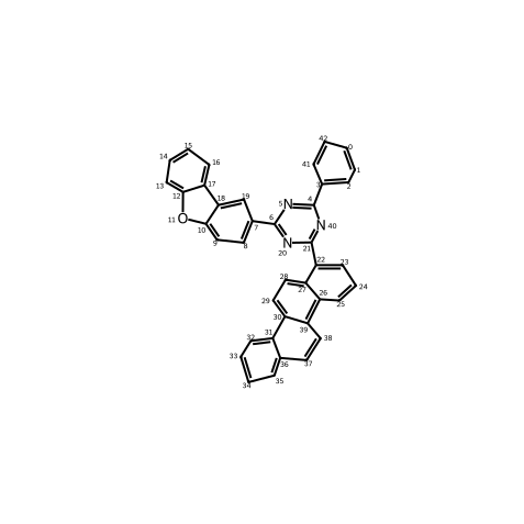 c1ccc(-c2nc(-c3ccc4oc5ccccc5c4c3)nc(-c3cccc4c3ccc3c5ccccc5ccc43)n2)cc1